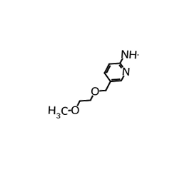 COCCOCc1ccc([NH])nc1